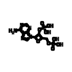 Nc1ncnc2c1ncn2C1OC(COP(=O)(O)O)C1OP(=O)(O)O